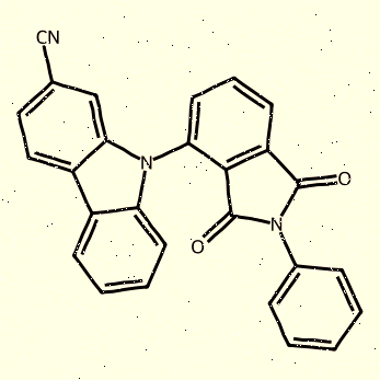 N#Cc1ccc2c3ccccc3n(-c3cccc4c3C(=O)N(c3ccccc3)C4=O)c2c1